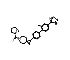 Cc1cc(-c2nnn[nH]2)ccc1-c1ccc([C@H]2CC23CCN(C(=O)[C@H]2CCCO2)CC3)cc1